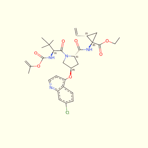 C=C[C@@H]1C[C@]1(NC(=O)[C@@H]1C[C@@H](Oc2ccnc3cc(Cl)ccc23)CN1C(=O)[C@@H](NC(=O)OC(=C)C)C(C)(C)C)C(=O)OCC